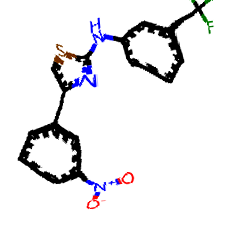 O=[N+]([O-])c1cccc(-c2csc(Nc3cccc(C(F)(F)F)c3)n2)c1